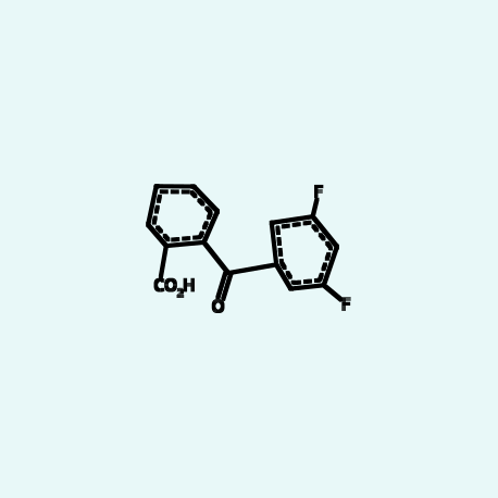 O=C(O)c1ccccc1C(=O)c1cc(F)cc(F)c1